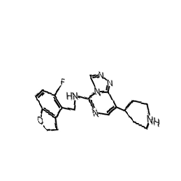 Fc1ccc2c(c1CNc1ncc(C3CCNCC3)c3nncn13)CCO2